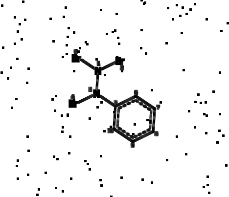 BrN(Br)N(Br)c1ccccc1